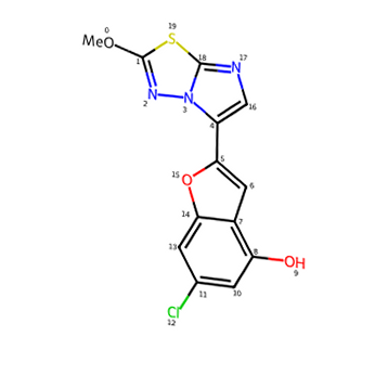 COc1nn2c(-c3cc4c(O)cc(Cl)cc4o3)cnc2s1